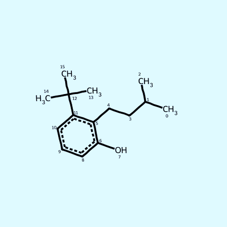 CC(C)CCc1c(O)cccc1C(C)(C)C